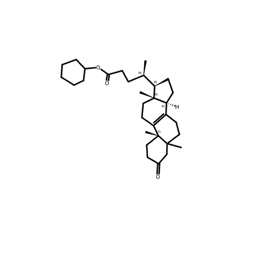 C[C@H](CCC(=O)OC1CCCCC1)[C@H]1CC[C@H]2C3=C(CC[C@]12C)[C@@]1(C)CCC(=O)CC1(C)CC3